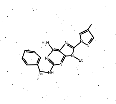 CCn1c(-n2cc(C)cn2)nc2c(N)nc(N[C@H](C)c3ccccc3)nc21